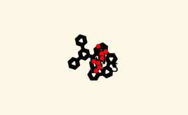 c1ccc(-c2cc(-c3ccccc3)cc(-c3nc(-n4c5ccccc5c5ccc6sc7ccc8c9ccccc9n(-c9ccccc9)c8c7c6c54)nc4ccccc34)c2)cc1